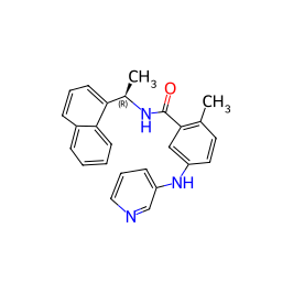 Cc1ccc(Nc2cccnc2)cc1C(=O)N[C@H](C)c1cccc2ccccc12